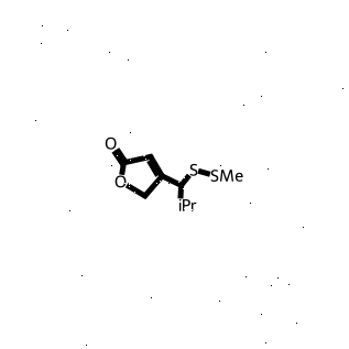 CSSC(C1=CC(=O)OC1)C(C)C